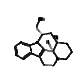 CC[C@@]12CCCN3CCc4c(n(c5ccccc45)[C@H](CO)C1)[C@H]32